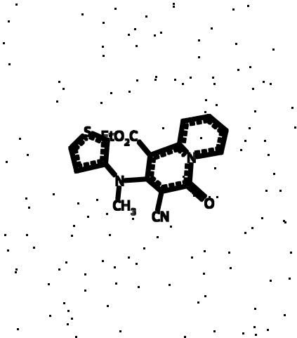 CCOC(=O)c1c(N(C)c2ccsc2)c(C#N)c(=O)n2ccccc12